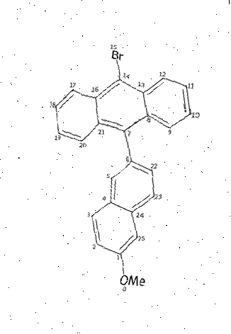 COc1ccc2cc(-c3c4ccccc4c(Br)c4ccccc34)ccc2c1